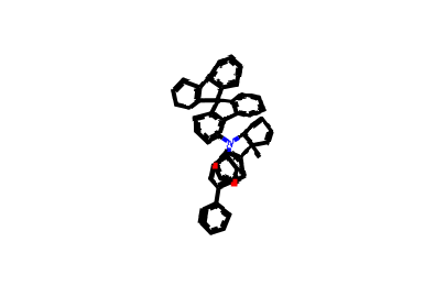 CC1(c2ccccc2)C=CC=CC1N(c1cccc2c1-c1ccccc1C21C2=C(C=CCC2)c2ccccc21)C1C=CC(c2c#cccc2)=CC1